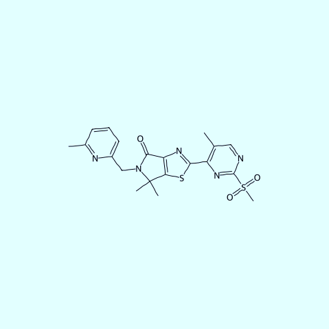 Cc1cccc(CN2C(=O)c3nc(-c4nc(S(C)(=O)=O)ncc4C)sc3C2(C)C)n1